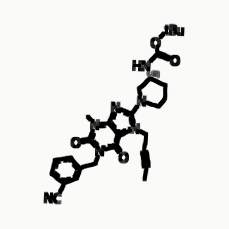 CC#CCn1c(N2CCC[C@@H](NC(=O)OC(C)(C)C)C2)nc2c1c(=O)n(Cc1cccc(C#N)c1)c(=O)n2C